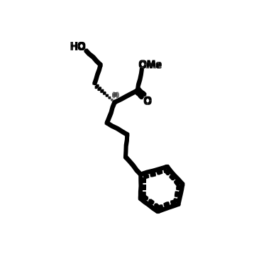 COC(=O)[C@@H](CCO)CCCc1ccccc1